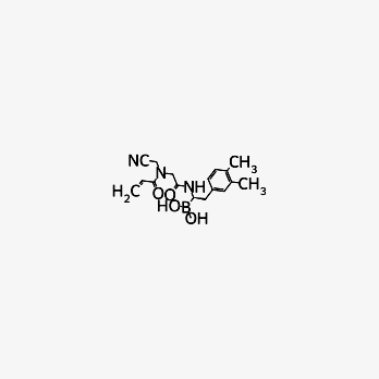 C=CC(=O)N(CC#N)CC(=O)N[C@@H](Cc1ccc(C)c(C)c1)B(O)O